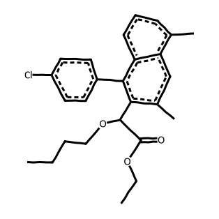 CCCCOC(C(=O)OCC)c1c(C)cc2c(C)cccc2c1-c1ccc(Cl)cc1